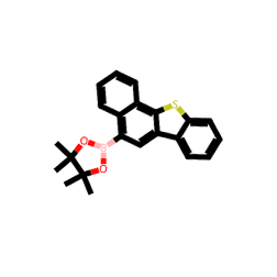 CC1(C)OB(c2cc3c4ccccc4sc3c3ccccc23)OC1(C)C